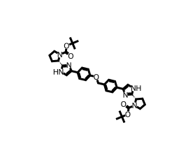 CC(C)(C)OC(=O)N1CCC[C@H]1c1nc(-c2ccc(COc3ccc(-c4c[nH]c([C@@H]5CCCN5C(=O)OC(C)(C)C)n4)cc3)cc2)c[nH]1